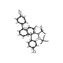 CC(=O)C(OC(C)(C)C)c1c(C)cc2c(-c3ccc(Cl)cc3)cccc2c1-c1ccc(Cl)cc1